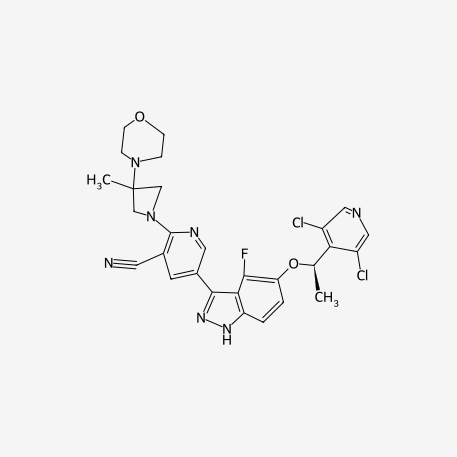 C[C@@H](Oc1ccc2[nH]nc(-c3cnc(N4CC(C)(N5CCOCC5)C4)c(C#N)c3)c2c1F)c1c(Cl)cncc1Cl